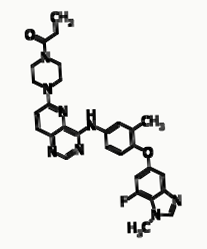 C=CC(=O)N1CCN(c2ccc3ncnc(Nc4ccc(Oc5cc(F)c6c(c5)ncn6C)c(C)c4)c3n2)CC1